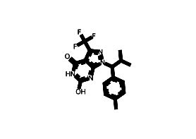 Cc1ccc(C(C(C)C)n2nc(C(F)(F)F)c3c(=O)[nH]c(O)nc32)cc1